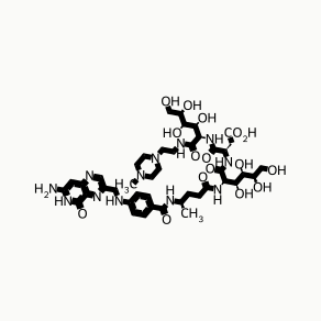 C[C@H](CCC(=O)N[C@H](C(=O)N[C@@H](CC(=O)O)C(=O)N[C@H](C(=O)NCCN1CCN(C)CC1)[C@@H](O)[C@H](O)[C@H](O)CO)[C@@H](O)[C@H](O)[C@H](O)CO)NC(=O)c1ccc(NCc2cnc3cc(N)[nH]c(=O)c3n2)cc1